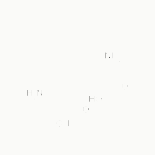 CCCCC(N)C(=O)O.NCC(=O)O